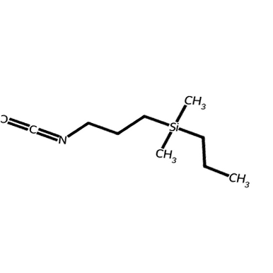 CCC[Si](C)(C)CCCN=C=O